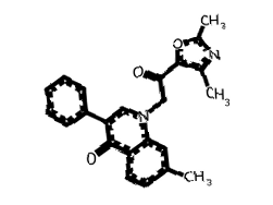 Cc1ccc2c(=O)c(-c3ccccc3)cn(CC(=O)c3oc(C)nc3C)c2c1